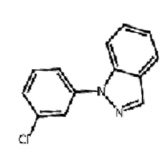 Clc1cccc(-n2ncc3ccccc32)c1